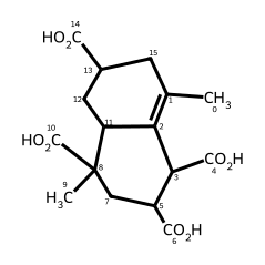 CC1=C2C(C(=O)O)C(C(=O)O)CC(C)(C(=O)O)C2CC(C(=O)O)C1